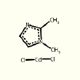 Cc1nccn1C.[Cl][Cd][Cl]